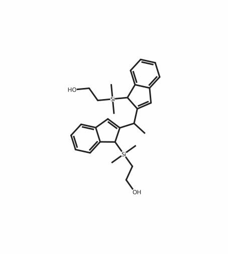 CC(C1=Cc2ccccc2C1[Si](C)(C)CCO)C1=Cc2ccccc2C1[Si](C)(C)CCO